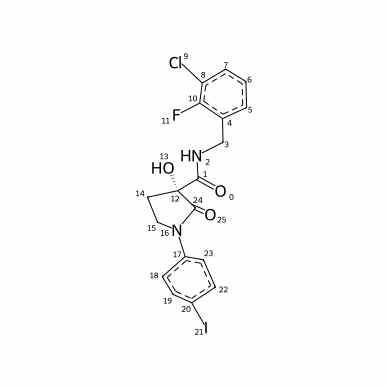 O=C(NCc1cccc(Cl)c1F)[C@]1(O)CCN(c2ccc(I)cc2)C1=O